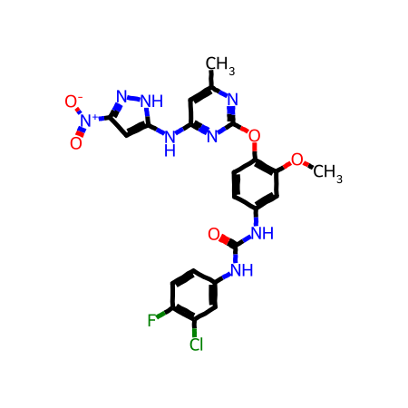 COc1cc(NC(=O)Nc2ccc(F)c(Cl)c2)ccc1Oc1nc(C)cc(Nc2cc([N+](=O)[O-])n[nH]2)n1